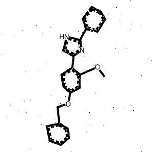 COc1cc(OCc2ccccc2)ccc1-c1c[nH]c(-c2ccccc2)n1